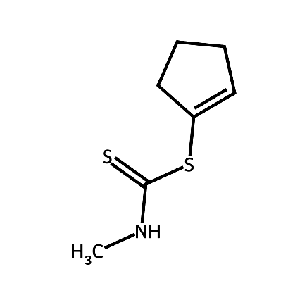 CNC(=S)SC1=CCCC1